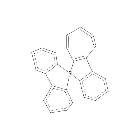 C1=CC=CC2=C(C=1)c1ccccc1[Si]21c2ccccc2-c2ccccc21